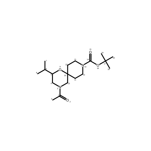 CC(=O)N1CC(C(C)C)OC2(CCN(C(=O)OC(C)(C)C)CC2)C1